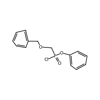 O=P(Cl)(COCc1ccccc1)Oc1ccccc1